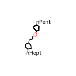 CCCCCCC[C@H]1CC[C@H](CCCOc2ccc(CCCCC)cc2)CC1